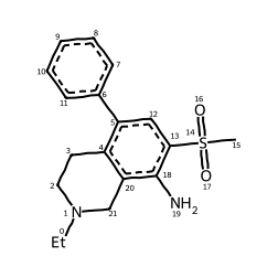 CCN1CCc2c(-c3ccccc3)cc(S(C)(=O)=O)c(N)c2C1